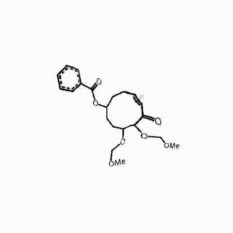 COCOC1CCC(OC(=O)c2ccccc2)CC/C=C\C(=O)C1OCOC